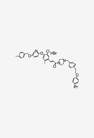 Br.Cc1ccc(COc2ccc(Oc3cc(C)c(C=CC(=O)N4CCN(Cc5ccc(CCOc6ccc(C(C)C)cc6)cc5)CC4)cc3Cl)nc2)cc1